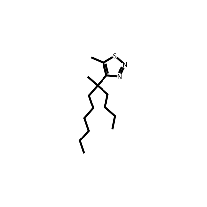 CCCCCCC(C)(CCCC)c1nnsc1C